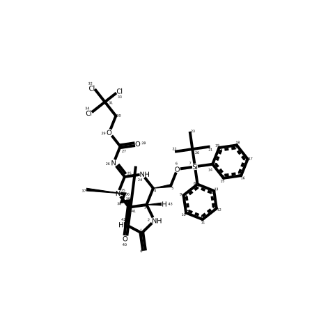 C=C1N[C@H]2[C@H](CO[Si](c3ccccc3)(c3ccccc3)C(C)(C)C)N/C(=N\C(=O)OCC(Cl)(Cl)Cl)N3[C@@H](C)CC(=O)C23N1